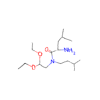 CCOC(CN(CCC(C)C)C(=O)C(N)CC(C)C)OCC